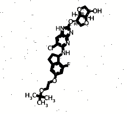 CC(C)(C)OCCOc1cc(F)c2c(c1)CCC2Nc1nc2nc(O[C@@H]3CO[C@H]4[C@@H]3OC[C@H]4O)[nH]c2cc1Cl